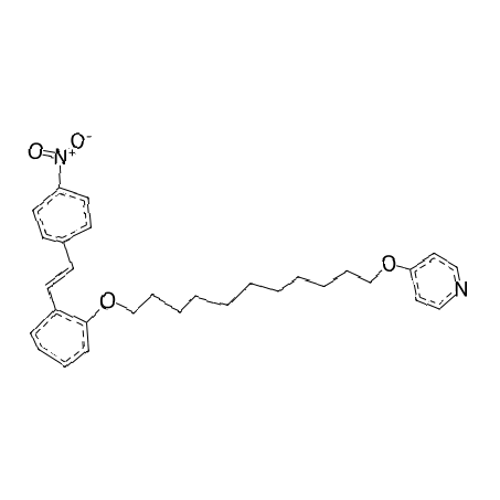 O=[N+]([O-])c1ccc(C=Cc2ccccc2OCCCCCCCCCCCOc2ccncc2)cc1